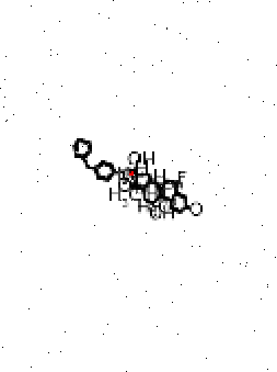 C[C@]12C=CC(=O)C=C1[C@@H](F)C[C@H]1[C@@H]3C[C@H]4CN(c5ccc(Cc6ccccc6)cc5)O[C@@]4(C(=O)CO)[C@@]3(C)C[C@H](O)[C@@]12F